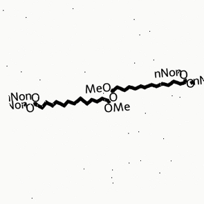 CCCCCCCCCOC(CCCCCCCCCCCCC(OC)OC(CCCCCCCCCCCCC(OCCCCCCCCC)OCCCCCCCCC)OC)OCCCCCCCCC